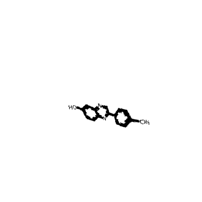 Oc1ccc(-c2cnc3cc(O)ccc3n2)cc1